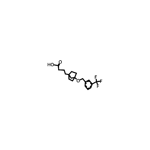 O=C(O)CCCC12CCC(OCc3cccc(C(F)(F)F)c3)(CC1)C2